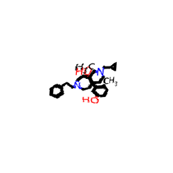 Cc1ccc(O)cc1C12CCN(CCc3ccccc3)CCC1(O)C(C)N(CC1CC1)CC2